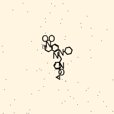 COC(=O)N1c2ccc3c(nc(Cc4cccc(OC5CC5)n4)n3C3CCCCC3)c2CC[C@@H]1C